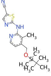 Cc1c(CO[Si](C)(C)C(C)(C)C)ccnc1Nc1ncc(C#N)s1